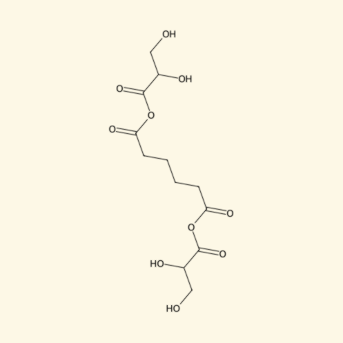 O=C(CCCCC(=O)OC(=O)C(O)CO)OC(=O)C(O)CO